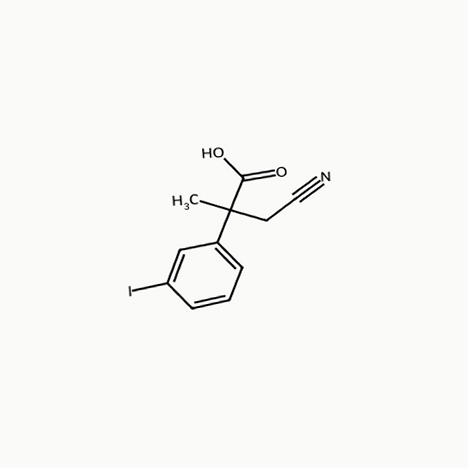 CC(CC#N)(C(=O)O)c1cccc(I)c1